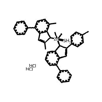 CC1=Cc2c(-c3ccccc3)ccc(C)c2[CH]1[Zr]([CH3])([CH3])(=[SiH2])[CH]1C(c2ccc(C)cc2)=Cc2c(-c3ccccc3)cccc21.Cl.Cl